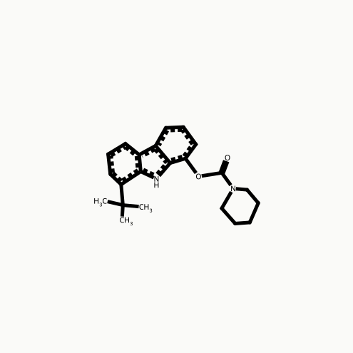 CC(C)(C)c1cccc2c1[nH]c1c(OC(=O)N3CCCCC3)cccc12